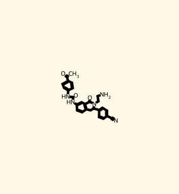 CC(=O)c1ccc(NC(=O)Nc2ccc3c(c2)C(=O)N(CCN)C(c2ccc(C#N)cc2)C3)cc1